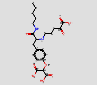 CCCCCNC(=O)C(Cc1ccc(OC(C(=O)O)C(=O)O)cc1)NCCCC(=O)C(=O)O